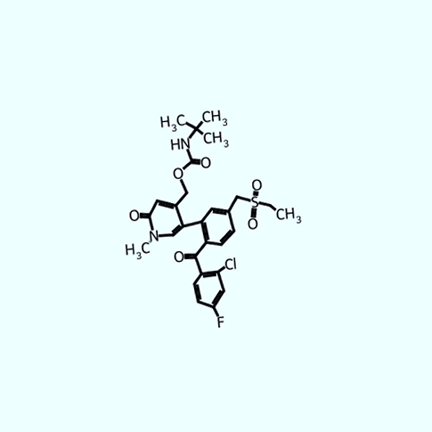 CCS(=O)(=O)Cc1ccc(C(=O)c2ccc(F)cc2Cl)c(-c2cn(C)c(=O)cc2COC(=O)NC(C)(C)C)c1